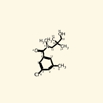 Cc1cc(Cl)cc(C(=O)N(C)CC(C)(C)CO)c1